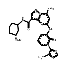 CNc1cc(Nc2cccn(-c3ocnc3C)c2=O)nc2c(C(=O)NC3CCC[C@H](OC)C3)cnn12